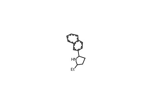 CCC1CCC(c2ccc3ccccc3c2)N1